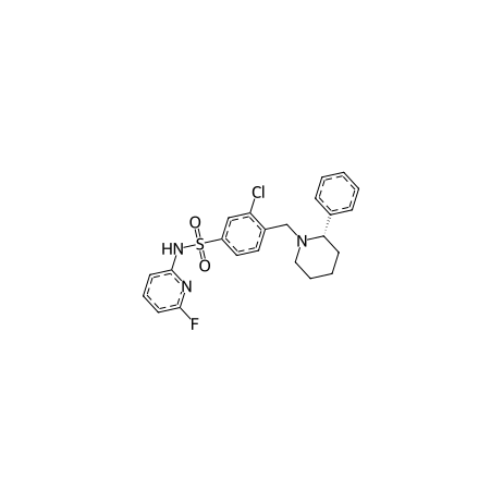 O=S(=O)(Nc1cccc(F)n1)c1ccc(CN2CCCC[C@H]2c2ccccc2)c(Cl)c1